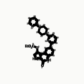 CCOC(=O)Oc1c[nH]c2c(=O)[nH]c3ccc(-c4ccnc(N5CCN(c6ccccn6)CC5)n4)cc3c12